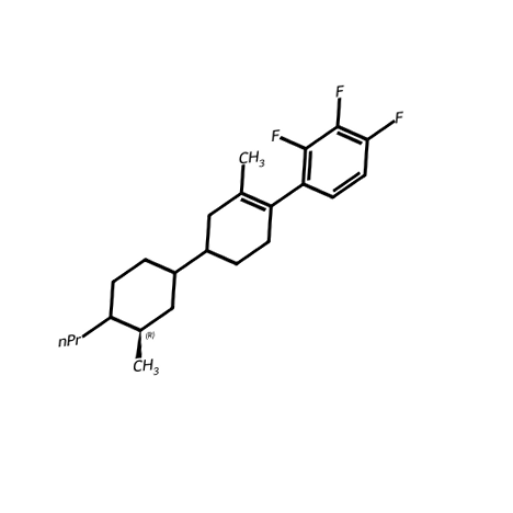 CCCC1CCC(C2CCC(c3ccc(F)c(F)c3F)=C(C)C2)C[C@H]1C